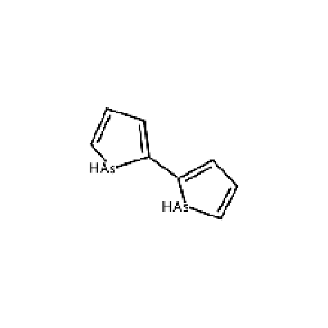 C1=C[AsH]C(C2=CC=C[AsH]2)=C1